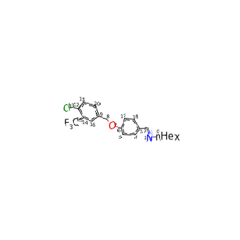 CCCCCC/N=C/c1ccc(OCc2ccc(Cl)c(C(F)(F)F)c2)cc1